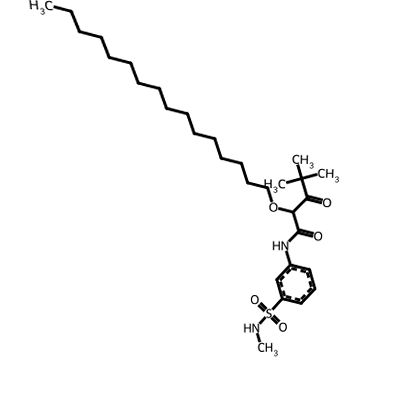 CCCCCCCCCCCCCCCCOC(C(=O)Nc1cccc(S(=O)(=O)NC)c1)C(=O)C(C)(C)C